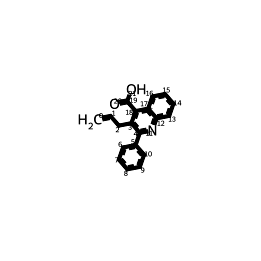 C=CCc1c(-c2ccccc2)nc2ccccc2c1C(=O)O